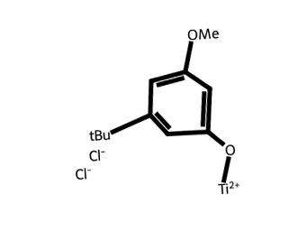 COc1cc([O][Ti+2])cc(C(C)(C)C)c1.[Cl-].[Cl-]